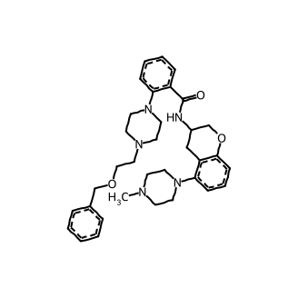 CN1CCN(c2cccc3c2CC(NC(=O)c2ccccc2N2CCN(CCOCc4ccccc4)CC2)CO3)CC1